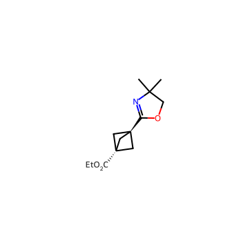 CCOC(=O)[C@]12C[C@@](C3=NC(C)(C)CO3)(C1)C2